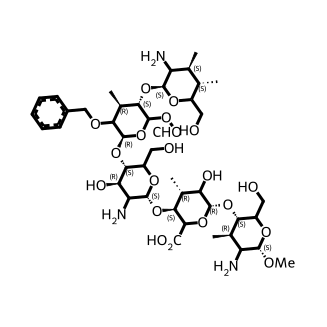 CO[C@H]1OC(CO)[C@@H](O[C@@H]2OC(C(=O)O)[C@@H](O[C@H]3OC(CO)[C@@H](O[C@@H]4OC(OC=O)[C@@H](O[C@@H]5OC(CO)[C@@H](C)[C@H](C)C5N)[C@H](C)C4OCc4ccccc4)[C@H](O)C3N)[C@H](C)C2O)[C@H](C)C1N